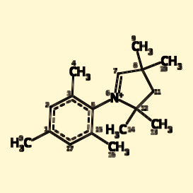 Cc1cc(C)c([N+]2=CC(C)(C)CC2(C)C)c(C)c1